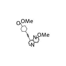 COC(=O)C1CCC(C#Cc2ccnc3ccc(OC)nc23)CC1